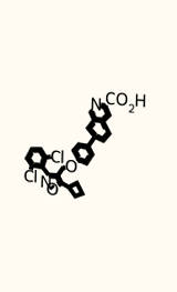 O=C(O)c1cc2ccc(-c3ccc(OCc4c(-c5c(Cl)cccc5Cl)noc4C4CCC4)cc3)cc2cn1